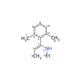 C/C=C(\NCC)c1c(C)cccc1C